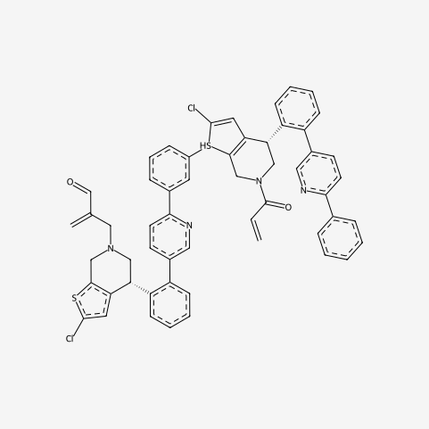 C=CC(=O)N1CC2=C(C=C(Cl)[SH]2c2cccc(-c3ccc(-c4ccccc4[C@H]4CN(CC(=C)C=O)Cc5sc(Cl)cc54)cn3)c2)[C@H](c2ccccc2-c2ccc(-c3ccccc3)nc2)C1